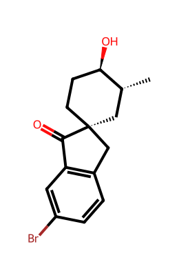 C[C@@H]1C[C@]2(CC[C@H]1O)Cc1ccc(Br)cc1C2=O